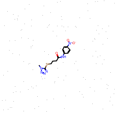 Cn1nnnc1SCCCC(=O)Nc1ccc([N+](=O)[O-])cc1